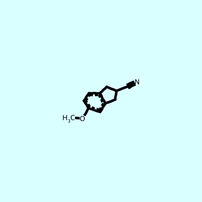 COc1ccc2c(c1)CC(C#N)C2